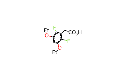 CCOc1cc(OCC)c(F)c(CC(=O)O)c1F